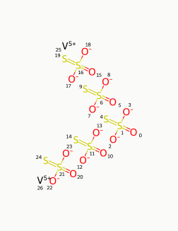 O=S([O-])([O-])=S.O=S([O-])([O-])=S.O=S([O-])([O-])=S.O=S([O-])([O-])=S.O=S([O-])([O-])=S.[V+5].[V+5]